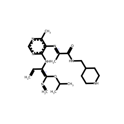 C=C/C(Nc1ncnc(C)c1/N=C(\C)C(=O)NCC1CCNCC1)=C(\N=C)OC(C)C